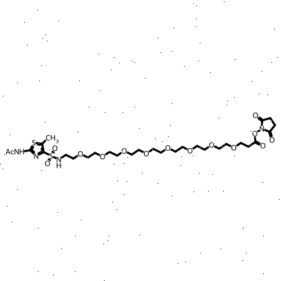 CC(=O)Nc1nc(S(=O)(=O)NCCOCCOCCOCCOCCOCCOCCOCCOCCC(=O)ON2C(=O)CCC2=O)c(C)s1